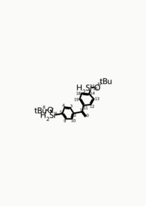 C=C(c1ccc([SiH2]OC(C)(C)C)cc1)c1ccc([SiH2]OC(C)(C)C)cc1